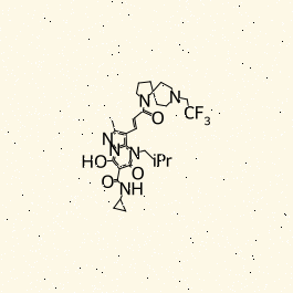 Cc1nn2c(O)c(C(=O)NC3CC3)c(=O)n(CC(C)C)c2c1/C=C/C(=O)N1CCCC12CCN(CC(F)(F)F)CC2